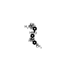 COc1ccc(NS(=O)(=O)c2ccc(NC(=O)c3cccc(S(=O)(=O)N(C)C)c3)cc2)cc1